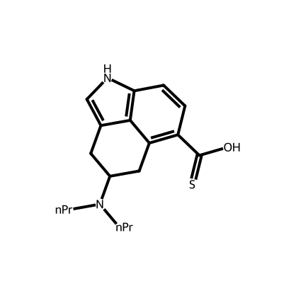 CCCN(CCC)C1Cc2c[nH]c3ccc(C(O)=S)c(c23)C1